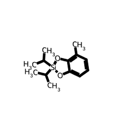 Cc1cccc2c1O[Si](C(C)C)(C(C)C)O2